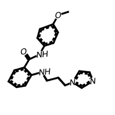 COc1ccc(NC(=O)c2ccccc2NCCCn2ccnc2)cc1